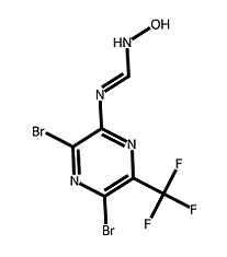 ONC=Nc1nc(C(F)(F)F)c(Br)nc1Br